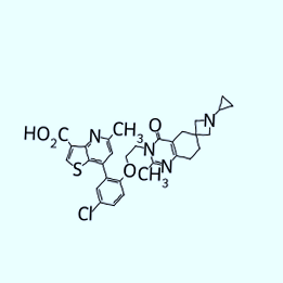 Cc1cc(-c2cc(Cl)ccc2OCCn2c(C)nc3c(c2=O)CC2(CC3)CN(C3CC3)C2)c2scc(C(=O)O)c2n1